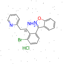 Cl.N[C@@H](Cc1ccccn1)c1c(Br)cccc1-c1noc2ccccc12